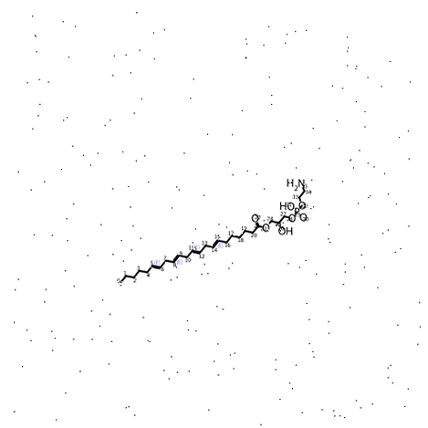 CCCCC/C=C/C/C=C/C/C=C/C/C=C/CCCCCC(=O)OC[C@@H](O)COP(=O)(O)OCCN